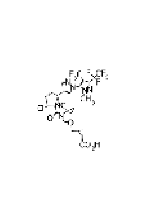 Cn1nc(C(F)(F)C(F)(F)F)c(C(F)(F)F)c1-n1cc(-c2ccc(Cl)c(C(=O)N(COCC3CC3C(=O)O)C3(C#N)CC3)c2)cn1